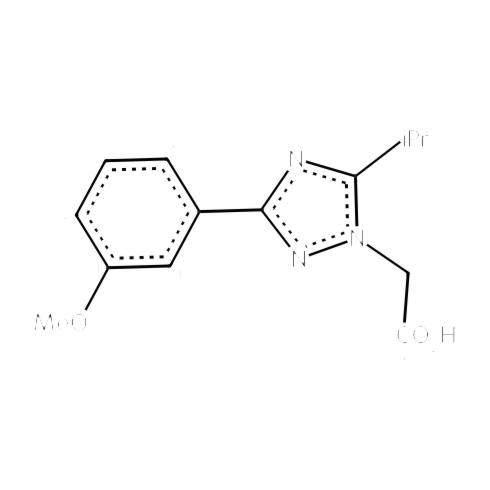 COc1cccc(-c2nc(C(C)C)n(CC(=O)O)n2)c1